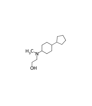 CN(CCO)C1CCC(C2CCCC2)CC1